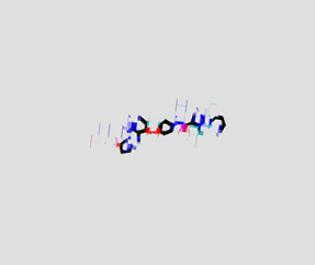 Nc1nccc(Oc2ccc(NC(=O)c3cnn(-c4ncccc4F)c3C(F)(F)F)cc2F)c1CN1CCC(O)C1